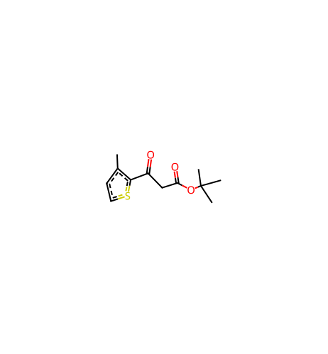 Cc1ccsc1C(=O)CC(=O)OC(C)(C)C